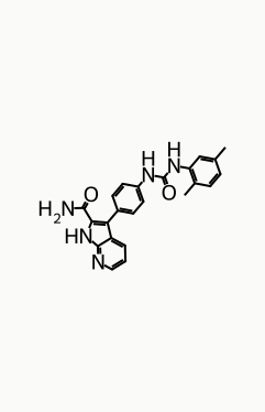 Cc1ccc(C)c(NC(=O)Nc2ccc(-c3c(C(N)=O)[nH]c4ncccc34)cc2)c1